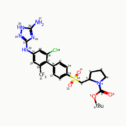 CC(C)(C)OC(=O)N1CCCC1CS(=O)(=O)c1ccc(-c2c(Cl)cc(Nc3n[nH]c(N)n3)cc2C(F)(F)F)cc1